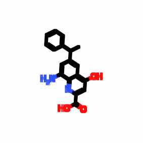 CC(c1ccccc1)c1cc(N)c2nc(C(=O)O)cc(O)c2c1